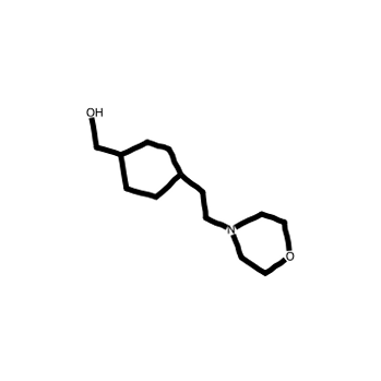 OCC1CCC(CCN2CCOCC2)CC1